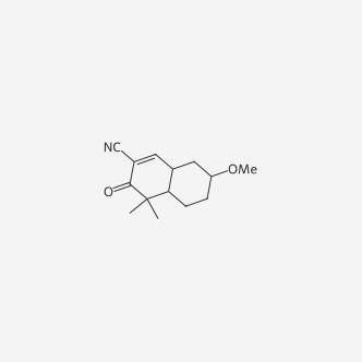 COC1CCC2C(C=C(C#N)C(=O)C2(C)C)C1